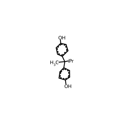 CC(C)C(C)(c1ccc(O)cc1)c1ccc(O)cc1